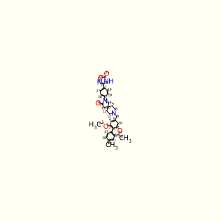 CCOc1cc(CN2CCC3(CC2)CC(=O)N(c2ccc(-c4noc(=O)[nH]4)cc2)C3)cc(OCC)c1-c1ccc(C)cc1